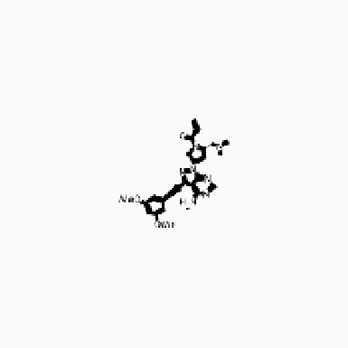 C=CC(=O)N1C[C@@H](n2nc(C#Cc3cc(OC)cc(OC)c3)c3c(N)ncnc32)C[C@H]1CN(C)C